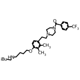 CCC(C)CNCCCCOc1ccc(CCN2CCN(C(=O)c3ccc(C(F)(F)F)cc3)CC2)c(C)c1C